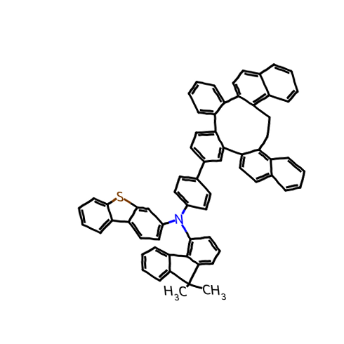 CC1(C)c2ccccc2-c2c(N(c3ccc(-c4ccc5c(c4)-c4ccc6ccccc6c4CCc4c(ccc6ccccc46)-c4ccccc4-5)cc3)c3ccc4c(c3)sc3ccccc34)cccc21